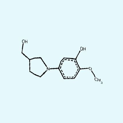 COc1ccc(N2CCC(CO)C2)cc1O